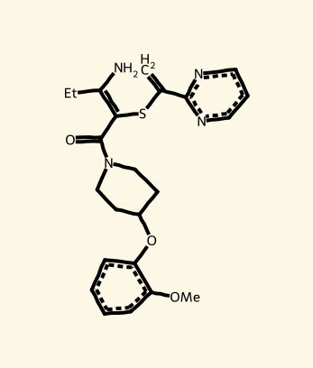 C=C(S/C(C(=O)N1CCC(Oc2ccccc2OC)CC1)=C(\N)CC)c1ncccn1